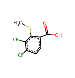 CSc1c(C(=O)O)ccc(Cl)c1Cl